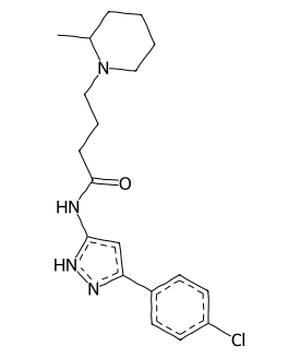 CC1CCCCN1CCCC(=O)Nc1cc(-c2ccc(Cl)cc2)n[nH]1